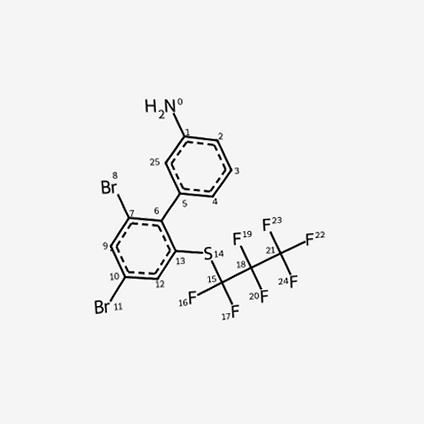 Nc1cccc(-c2c(Br)[c]c(Br)cc2SC(F)(F)C(F)(F)C(F)(F)F)c1